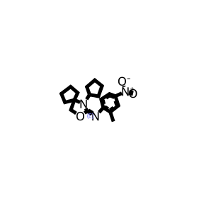 Cc1cc([N+](=O)[O-])ccc1/N=C1/OCC2(CCCC2)N1C1CCCC1